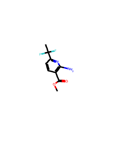 COC(=O)c1ccc(C(C)(F)F)nc1N